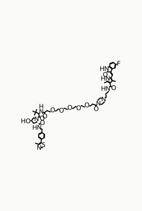 Cc1ncsc1-c1ccc(CNC(=O)[C@@H]2C[C@@H](O)CN2C(=O)[C@@H](NC(=O)CCOCCOCCOCCOCCOCCC(=O)N2CCN(CCCNC(=O)c3c(C)[nH]c(/C=C4\C(=O)Nc5ccc(F)cc54)c3C)CC2)C(C)(C)C)cc1